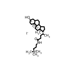 CC(CCC(=O)NCCC[N+](C)(C)C)[C@H]1CCC2C3CCC4C[C@H](O)CC[C@]4(C)C3CC[C@@]21C.[I-]